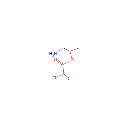 CC(CN)OC(=O)C(Cl)Cl